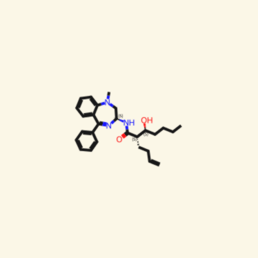 C=CCC[C@H](C(=O)N[C@@H]1CN(C)c2ccccc2C(c2ccccc2)=N1)[C@@H](O)CCCC